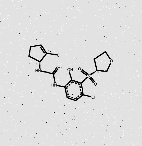 O=C(Nc1ccc(Cl)c(S(=O)(=O)[C@H]2CCOC2)c1O)N[C@H]1CCC=C1Cl